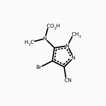 CN(C(=O)O)c1c(Br)c(C#N)nn1C